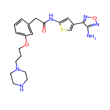 Nc1nonc1-c1csc(NC(=O)Cc2cccc(OCCCN3CCNCC3)c2)c1